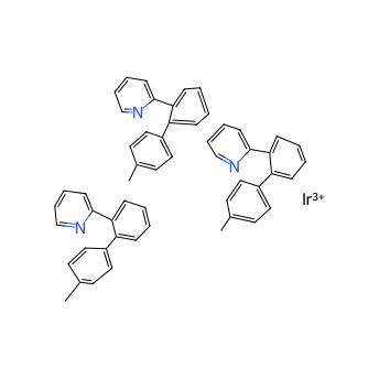 Cc1ccc(-c2ccccc2-c2ccccn2)cc1.Cc1ccc(-c2ccccc2-c2ccccn2)cc1.Cc1ccc(-c2ccccc2-c2ccccn2)cc1.[Ir+3]